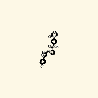 O=C(Nc1ccc(N2CCOCC2=O)cc1)[C@H]1CCCN1Cc1cc(-c2ccc(Cl)cc2)on1